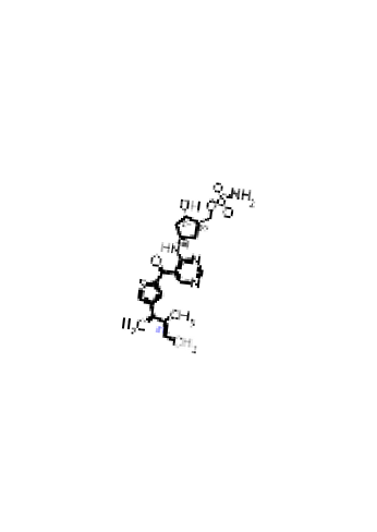 C=C(/C(C)=C/C)c1csc(C(=O)c2cncnc2N[C@@H]2C[C@H](COS(N)(=O)=O)[C@@H](O)C2)c1